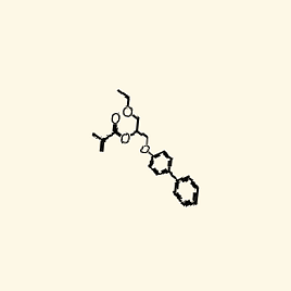 C=C(C)C(=O)OC(COCC)COc1ccc(-c2ccccc2)cc1